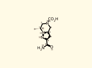 C[C@@H]1CN(C(=O)O)Cc2cc(C(N)=O)nn21